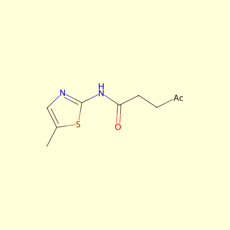 CC(=O)CCC(=O)Nc1ncc(C)s1